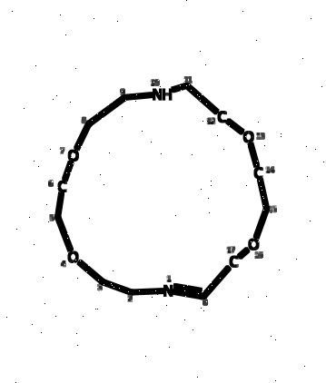 C1=N/CCOCCOCCNCCOCCOC/1